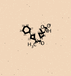 CN(C(=O)[C@H]1C[C@]2(COC(=O)N2)C1)[C@H]1C[C@H](C2CCCCC2)C1